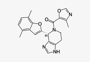 Cc1ncoc1C(=O)N1CCc2[nH]cnc2[C@@H]1c1cc2c(C)ccc(C)c2o1